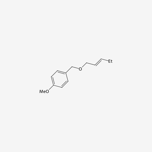 CC/C=C/COCc1ccc(OC)cc1